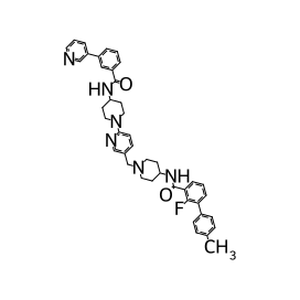 Cc1ccc(-c2cccc(C(=O)NC3CCN(Cc4ccc(N5CCC(NC(=O)c6cccc(-c7cccnc7)c6)CC5)nc4)CC3)c2F)cc1